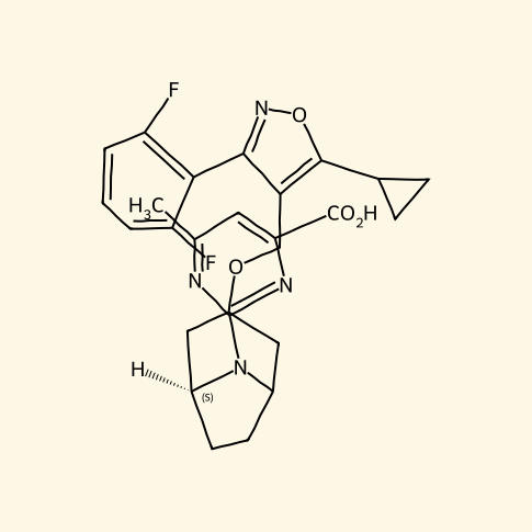 Cc1cc(C(=O)O)nc(N2C3CC[C@H]2CC(OCc2c(-c4c(F)cccc4F)noc2C2CC2)C3)n1